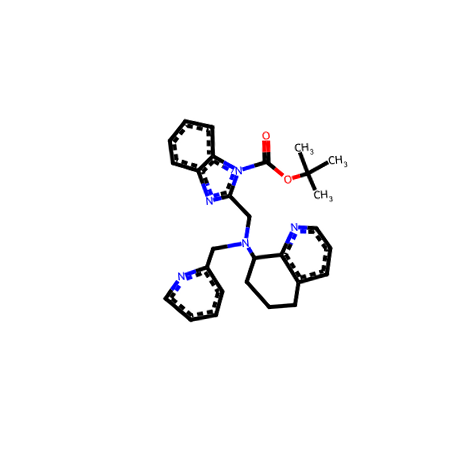 CC(C)(C)OC(=O)n1c(CN(Cc2ccccn2)C2CCCc3cccnc32)nc2ccccc21